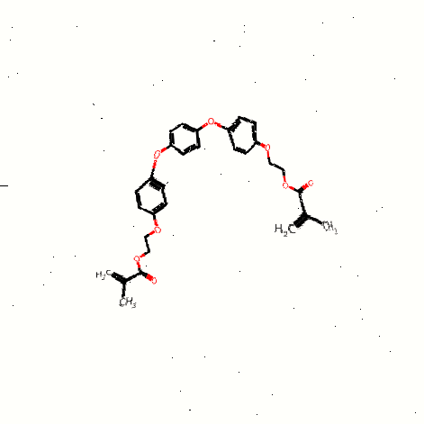 C=C(C)C(=O)OCCOc1ccc(Oc2ccc(Oc3ccc(OCCOC(=O)C(=C)C)cc3)cc2)cc1